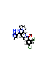 Cc1nc2c(c(-c3ccn[nH]3)n1)CCN(C(=O)c1ccc(Cl)cc1Cl)C2